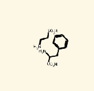 NC(Cc1ccccc1)C(=O)O.NCCS(=O)(=O)O